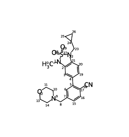 CN1c2cc(-c3cc(CN4CCOCC4)ccc3C#N)ccc2N(CC2CC2)S1(=O)=O